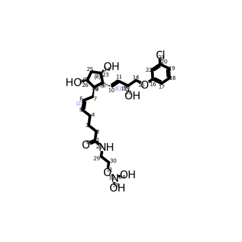 O=C(CCC/C=C\C[C@@H]1[C@@H](/C=C/[C@@H](O)COc2cccc(Cl)c2)[C@H](O)C[C@@H]1O)NCCON(O)O